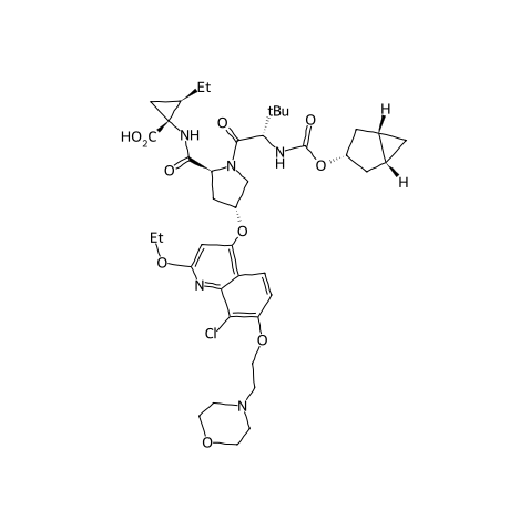 CCOc1cc(O[C@@H]2C[C@@H](C(=O)N[C@]3(C(=O)O)C[C@H]3CC)N(C(=O)[C@@H](NC(=O)O[C@@H]3C[C@@H]4C[C@@H]4C3)C(C)(C)C)C2)c2ccc(OCCN3CCOCC3)c(Cl)c2n1